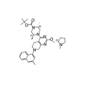 Cc1cc(N2CCc3c(nc(OC[C@@H]4CCCN4C)nc3N3C[C@@H](C)N(C(=O)OC(C)(C)C)C[C@@H]3C)C2)c2ccccc2c1